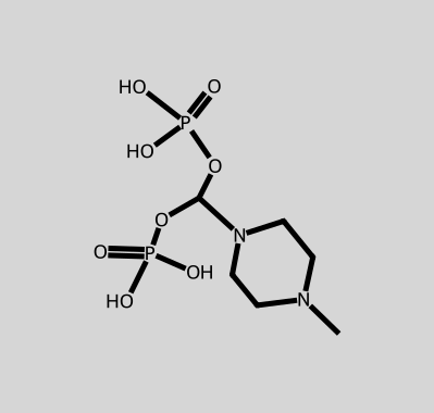 CN1CCN(C(OP(=O)(O)O)OP(=O)(O)O)CC1